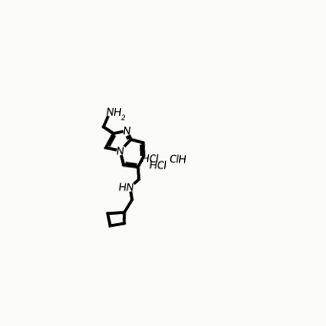 Cl.Cl.Cl.NCc1cn2cc(CNCC3CCC3)ccc2n1